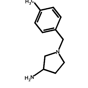 Cc1ccc(CN2CCC(N)C2)cc1